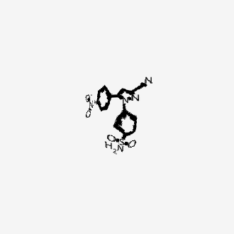 N#Cc1cc(-c2ccc([N+](=O)[O-])cc2)n(-c2ccc(S(N)(=O)=O)cc2)n1